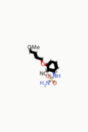 COCC=CCOc1cccc(NS(N)(=O)=O)c1C#N